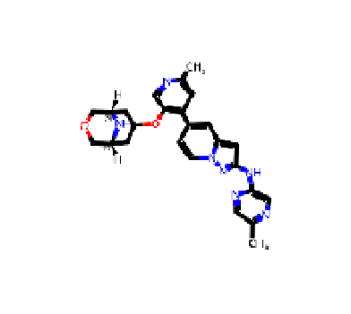 Cc1cnc(Nc2cc3cc(-c4cc(C)ncc4OC4C[C@H]5COC[C@@H](C4)N5)ccn3n2)cn1